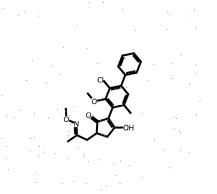 CON=C(C)CC1CC(O)=C(c2c(C)cc(-c3ccccc3)c(Cl)c2OC)C1=O